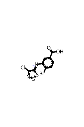 O=C(O)c1ccc(Br)c(/N=c2\ssnc2Cl)c1